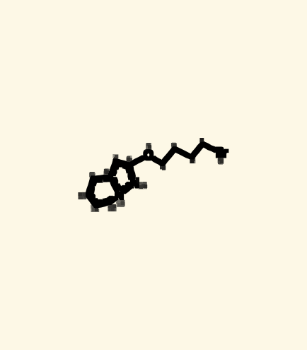 BrCCCCOc1cc2ccccn2n1